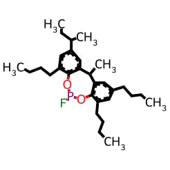 CCCCc1cc(CCCC)c2c(c1)C(C)c1cc(C(C)CC)cc(CCCC)c1OP(F)O2